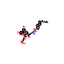 COc1ccc(C(c2ccccc2)(c2ccc(OC)cc2)C(O)C2CN(C(=O)CCCCCNC(=O)OC3CC[C@@]4(C)C(=CCC5C4CC[C@@]4(C)C5CC[C@@H]4C(C)CCCC(C)C)C3)CC2OC(=O)CCC(=O)O)cc1